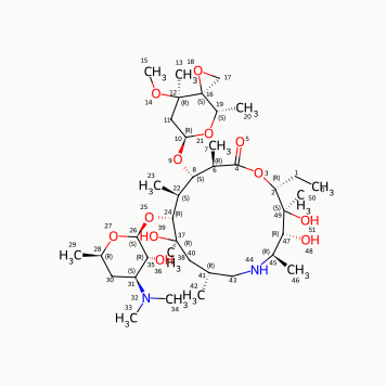 CC[C@H]1OC(=O)[C@H](C)[C@@H](O[C@H]2C[C@@](C)(OC)[C@]3(CO3)[C@H](C)O2)[C@H](C)[C@@H](O[C@@H]2O[C@H](C)C[C@H](N(C)C)[C@H]2O)[C@](C)(O)C[C@@H](C)CN[C@H](C)[C@@H](O)[C@]1(C)O